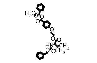 COC(OC(=O)c1ccc(OCCOC(=O)[C@@H](NC(=O)OCc2ccccc2)C(C)C)cc1)c1ccccc1